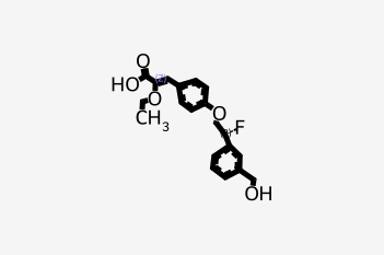 CCO/C(=C\c1ccc(OC[C@H](F)c2cccc(CO)c2)cc1)C(=O)O